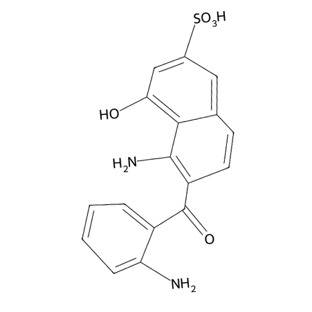 Nc1ccccc1C(=O)c1ccc2cc(S(=O)(=O)O)cc(O)c2c1N